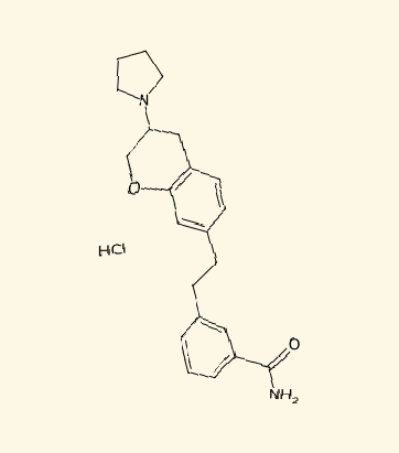 Cl.NC(=O)c1cccc(CCc2ccc3c(c2)OCC(N2CCCC2)C3)c1